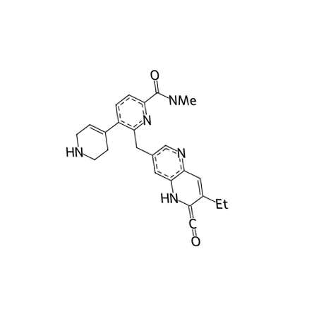 CCC1=Cc2ncc(Cc3nc(C(=O)NC)ccc3C3=CCNCC3)cc2NC1=C=O